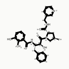 Cc1c(O)cccc1C(=O)N[C@@H](Cc1ccccc1)[C@H](O)C(=O)N1C[C@H](F)C[C@H]1C(=O)NCc1cccnc1